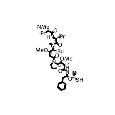 CCC(C)[C@@H]([C@@H](CC(=O)N1CCC[C@H]1[C@H](OC)[C@H](C)C(=O)NC(Cc1ccccc1)O[PH](=O)O)OC)N(C)C(=O)[C@@H](NC(=O)[C@@H](NC)C(C)C)C(C)C